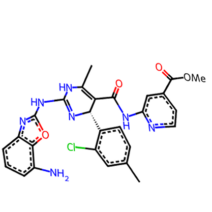 COC(=O)c1ccnc(NC(=O)C2=C(C)NC(Nc3nc4cccc(N)c4o3)=N[C@H]2c2ccc(C)cc2Cl)c1